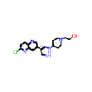 N=C/C(=C\NC1CCN(CCO)CC1)c1cnc2ccc(Cl)nc2c1